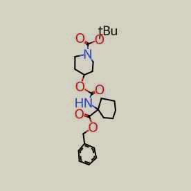 CC(C)(C)OC(=O)N1CCC(OC(=O)NC2(C(=O)OCc3ccccc3)CCCCC2)CC1